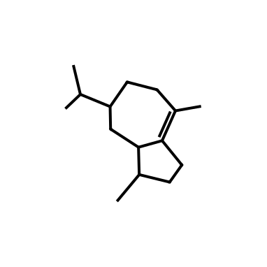 CC1=C2CCC(C)C2CC(C(C)C)CC1